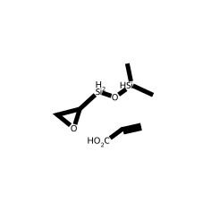 C=CC(=O)O.C[SiH](C)O[SiH2]C1CO1